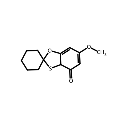 COC1=CC(=O)C2SC3(CCCCC3)OC2=C1